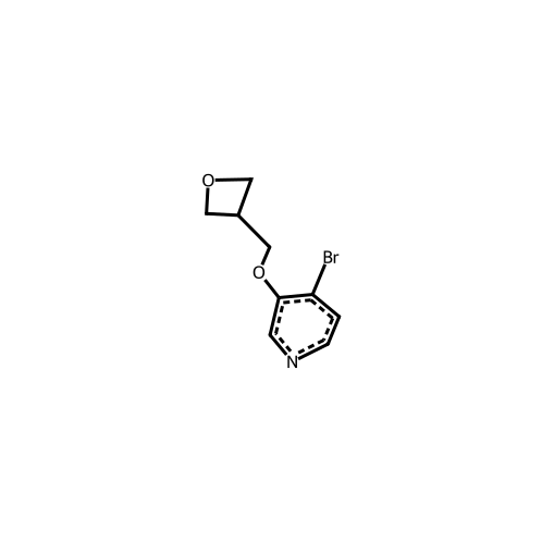 Brc1ccncc1OCC1COC1